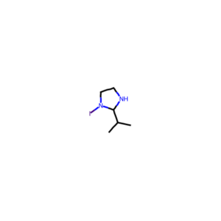 CC(C)C1NCCN1I